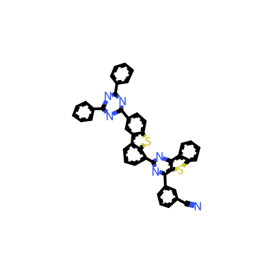 N#Cc1cccc(-c2nc(-c3cccc4c3sc3ccc(-c5nc(-c6ccccc6)nc(-c6ccccc6)n5)cc34)nc3c2sc2ccccc23)c1